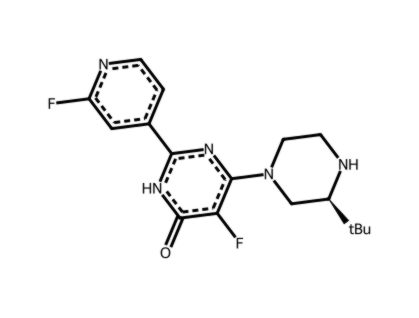 CC(C)(C)[C@H]1CN(c2nc(-c3ccnc(F)c3)[nH]c(=O)c2F)CCN1